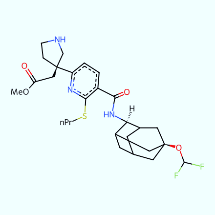 CCCSc1nc([C@]2(CC(=O)OC)CCNC2)ccc1C(=O)N[C@H]1C2CC3CC1C[C@@](OC(F)F)(C3)C2